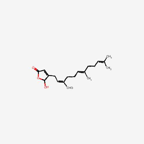 CC(C)=CCC/C(C)=C/CC/C(C=O)=C\CC1=CC(=O)OC1O